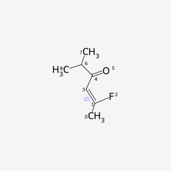 C/C(F)=C/C(=O)C(C)C